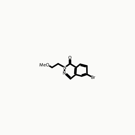 COCCn1ncc2cc(Br)ccc2c1=O